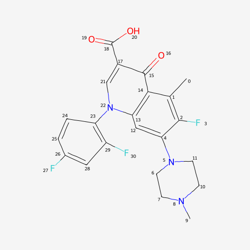 Cc1c(F)c(N2CCN(C)CC2)cc2c1c(=O)c(C(=O)O)cn2-c1ccc(F)cc1F